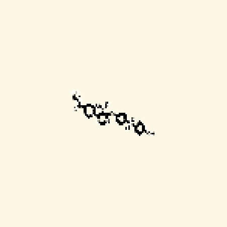 CCOC(=O)C1CCN(c2ncnc(Oc3ccc(S(=O)(=O)c4ccc(O)cc4)cc3)c2[N+](=O)[O-])CC1